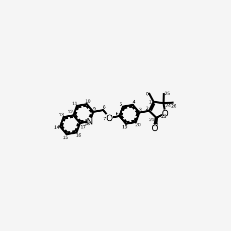 CC1=C(c2ccc(OCc3ccc4ccccc4n3)cc2)C(=O)OC1(C)C